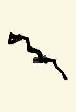 CCCCNCCCN1CC1